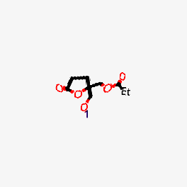 CCC(=O)OCC1(COI)CCC(=O)O1